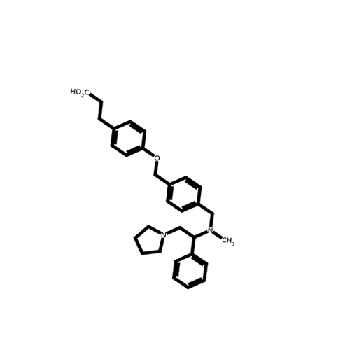 CN(Cc1ccc(COc2ccc(CCC(=O)O)cc2)cc1)C(CN1CCCC1)c1ccccc1